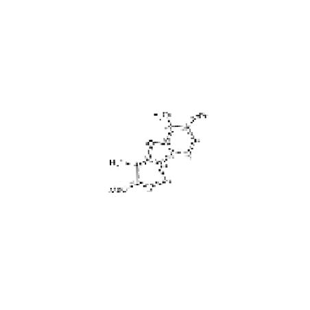 CCCc1ccc2c(oc3c(C)c(OC)ccc32)c1C